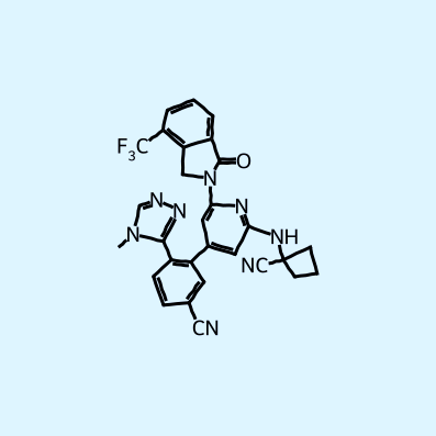 Cn1cnnc1-c1ccc(C#N)cc1-c1cc(NC2(C#N)CCC2)nc(N2Cc3c(cccc3C(F)(F)F)C2=O)c1